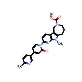 Cn1c2c(c3ccc(-n4ccc(-c5ccc(C(F)(F)F)nc5)cc4=O)nc31)CN(C(=O)OC(C)(C)C)CCC2